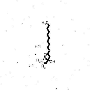 CCCCCCCCCCCCC(O)(CC)N(C)C.Cl